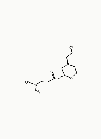 CC(=O)CCN1CCOC(CC(=O)CCN(C)C)C1